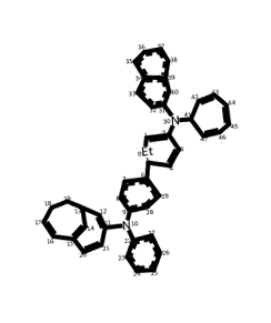 CC/C=C(\C=C/Cc1ccc(N(C2=CC3C=C(C=CCC3)C=C2)c2ccccc2)cc1)N(c1ccc2ccccc2c1)C1C=CC=CC=C1